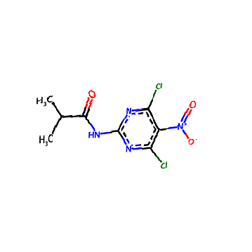 CC(C)C(=O)Nc1nc(Cl)c([N+](=O)[O-])c(Cl)n1